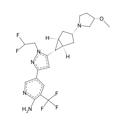 CO[C@H]1CCN([C@@H]2C[C@@H]3[C@H](C2)[C@H]3c2cc(-c3cnc(N)c(C(F)(F)F)c3)nn2CC(F)F)C1